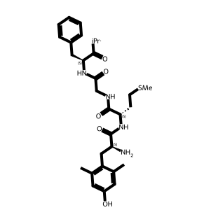 CSCC[C@H](NC(=O)[C@@H](N)Cc1c(C)cc(O)cc1C)C(=O)NCC(=O)N[C@@H](Cc1ccccc1)C(=O)[C](C)C